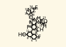 C#Cc1c(F)ccc2cc(O)cc(-c3ccc4c(N5C[C@@H]6C[C@H]5CO6)nc(OC[C@@]56CCCN5C[C@H](F)C6)nc4c3F)c12